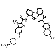 CC(C)N1CCc2cc(C(=O)Nc3cccc(-c4cccc(NC(=O)c5nc6c(n5C)CCN(C[C@H]5CC[C@H](C(=O)O)CC5)C6)c4Cl)c3Cl)ncc2C1